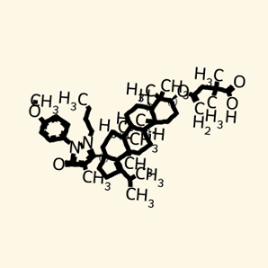 C=C(CC(C)(C)C(=O)O)O[C@H]1CCC2(C)[C@H]3CCC4(C)C5=C(C(C)C)CC[C@]5(c5c(C)c(=O)n(-c6ccc(OC)cc6)n5CCCC)CC[C@@]4(C)C3(C)CC[C@H]2C1(C)C